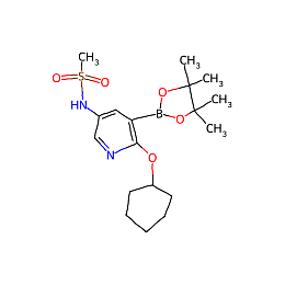 CC1(C)OB(c2cc(NS(C)(=O)=O)cnc2OC2CCCCC2)OC1(C)C